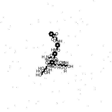 NCC(=O)N(C(=O)c1ccc(NC(=O)c2ccc(NC(=O)CN3C(=O)c4ccccc4C3=O)cc2)cc1)c1c(Br)c(C(=O)NCC(O)C(O)C(O)C(O)CO)c(Br)c(C(=O)NCC(O)C(O)C(O)C(O)CO)c1Br